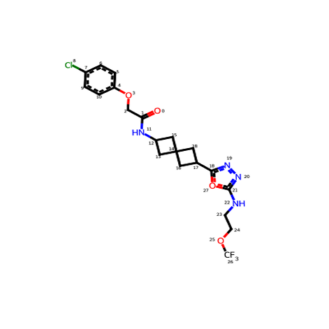 O=C(COc1ccc(Cl)cc1)NC1CC2(C1)CC(c1nnc(NCCOC(F)(F)F)o1)C2